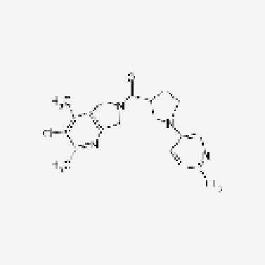 Cc1nc2c(c(C)c1Cl)CN(C(=O)C1CCN(c3ccc(C(F)(F)F)nc3)C1)C2